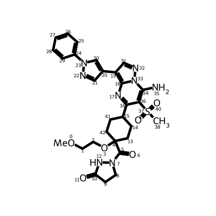 COCCOC1(C(=O)N2CCC(=O)N2)CCC(c2nc3c(-c4cnn(-c5ccccc5)c4)cnn3c(N)c2S(C)(=O)=O)CC1